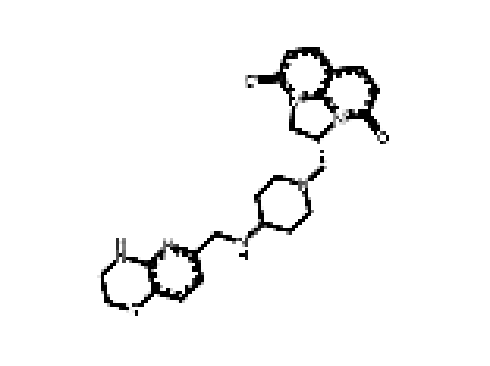 O=c1ccc2ccc(=O)n3c2n1C[C@H]3CN1CCC(NCc2ccc3c(n2)NCCS3)CC1